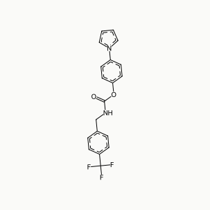 O=C(NCc1ccc(C(F)(F)F)cc1)Oc1ccc(-n2cccc2)cc1